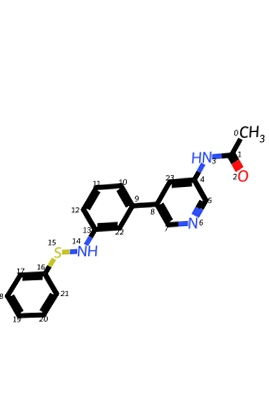 CC(=O)Nc1cncc(-c2cccc(NSc3ccccc3)c2)c1